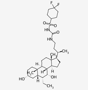 CC[C@H]1[C@@H](O)[C@@H]2[C@H](CC[C@]3(C)[C@@H]([C@H](C)CCNC(=O)NS(=O)(=O)C4CCC(F)(F)CC4)CC[C@@H]23)[C@@]2(C)CC[C@@H](O)C[C@@H]12